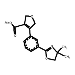 COC(=O)C1=C(c2cccc(C3=NC(C)(C)CO3)c2)COC1